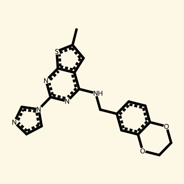 Cc1cc2c(NCc3ccc4c(c3)OCCO4)nc(-n3ccnc3)nc2s1